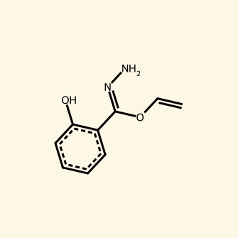 C=CO/C(=N\N)c1ccccc1O